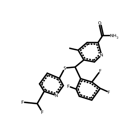 Cc1cc(C(N)=O)ncc1C(Sc1ccc(C(F)F)nc1)c1c(F)ccc(F)c1F